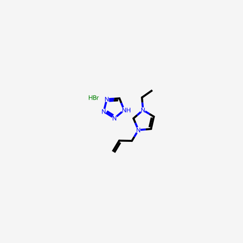 Br.C=CCN1C=CN(CC)C1.c1nnn[nH]1